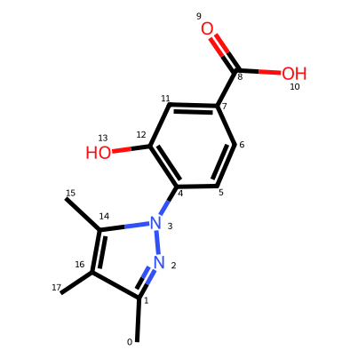 Cc1nn(-c2ccc(C(=O)O)cc2O)c(C)c1C